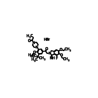 Br.CCOc1cc2c(c(F)c1OCC)C(=N)N(CC(=O)c1cc(N3CCN(C(=O)CC)CC3)c(OC)c(C(C)(C)C)c1)C2